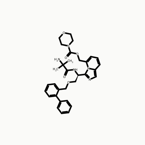 CC(C)(N)C(=O)N[C@H](COCc1ccccc1-c1ccccc1)c1ncc2cccc(COC(=O)N3CCOCC3)n12